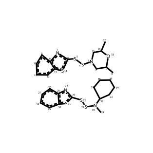 CC1CN(SSc2nc3ccccc3s2)CC(C)O1.CN(SSc1nc2ccccc2s1)C1CCCCC1